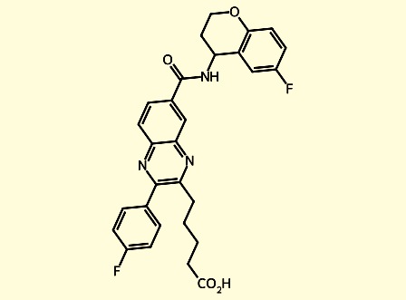 O=C(O)CCCCc1nc2cc(C(=O)NC3CCOc4ccc(F)cc43)ccc2nc1-c1ccc(F)cc1